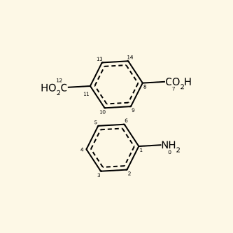 Nc1ccccc1.O=C(O)c1ccc(C(=O)O)cc1